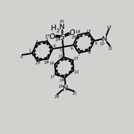 Cc1ccc(C(c2ccc(N(C)C)cc2)(c2ccc(N(C)C)cc2)S(N)(=O)=O)cc1